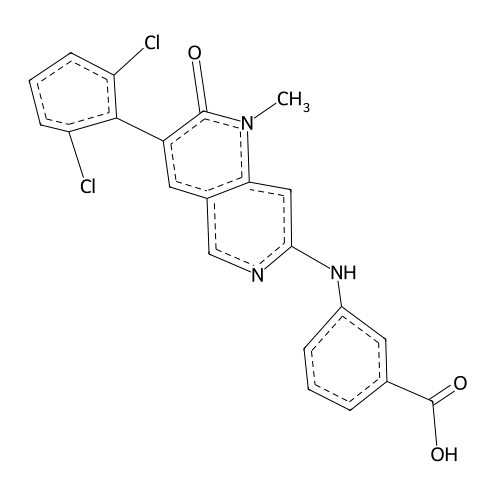 Cn1c(=O)c(-c2c(Cl)cccc2Cl)cc2cnc(Nc3cccc(C(=O)O)c3)cc21